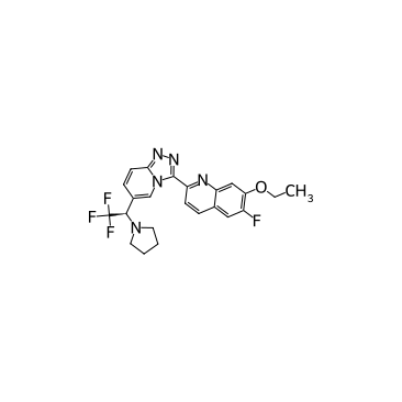 CCOc1cc2nc(-c3nnc4ccc([C@@H](N5CCCC5)C(F)(F)F)cn34)ccc2cc1F